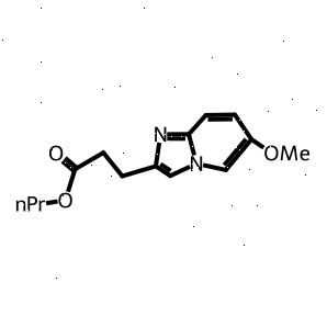 CCCOC(=O)CCc1cn2cc(OC)ccc2n1